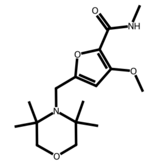 CNC(=O)c1oc(CN2C(C)(C)COCC2(C)C)cc1OC